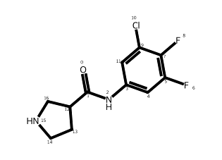 O=C(Nc1cc(F)c(F)c(Cl)c1)C1CCNC1